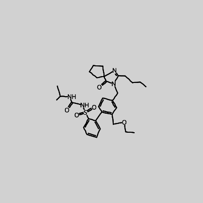 CCCCC1=NC2(CCCC2)C(=O)N1Cc1ccc(-c2ccccc2S(=O)(=O)NC(=O)NC(C)C)c(COCC)c1